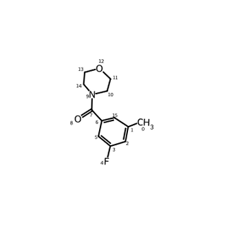 Cc1cc(F)cc(C(=O)N2CCOCC2)c1